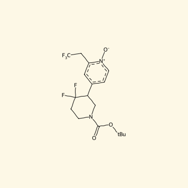 CC(C)(C)OC(=O)N1CCC(F)(F)C(c2cc[n+]([O-])c(CC(F)(F)F)c2)C1